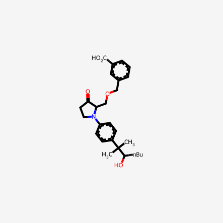 CCCCC(O)C(C)(C)c1ccc(N2CCC(=O)C2COCc2cccc(C(=O)O)c2)cc1